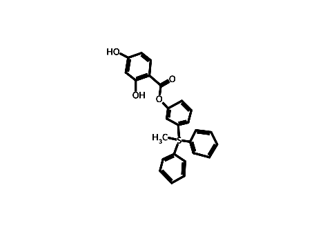 CS(c1ccccc1)(c1ccccc1)c1cccc(OC(=O)c2ccc(O)cc2O)c1